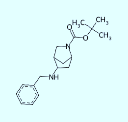 CC(C)(C)OC(=O)N1CC2CC1CC2NCc1ccccc1